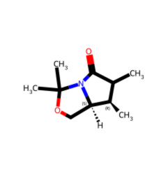 CC1C(=O)N2[C@H](COC2(C)C)[C@@H]1C